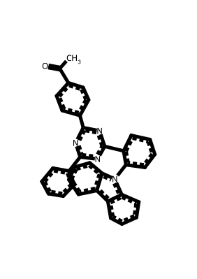 CC(=O)c1ccc(-c2nc(-c3ccccc3)nc(-c3ccccc3-n3c4ccccc4c4ccccc43)n2)cc1